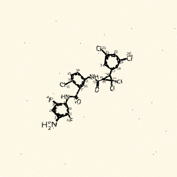 Nc1cc(F)c(NC(=O)c2cc(NC(=O)[C@H]3C(c4cc(Cl)cc(Cl)c4)C3(Cl)Cl)ccc2Cl)cc1F